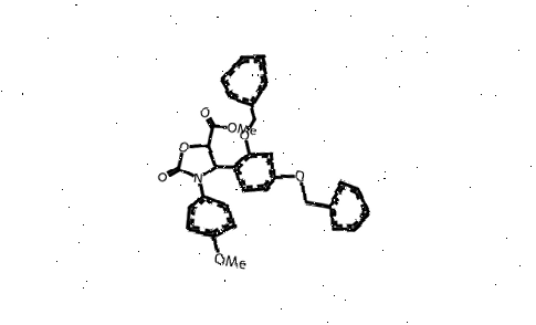 COC(=O)C1OC(=O)N(c2ccc(OC)cc2)C1c1ccc(OCc2ccccc2)cc1OCc1ccccc1